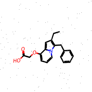 CCc1cc2c(OCC(=O)O)cccn2c1Cc1ccccc1